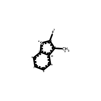 Cc1c(F)sc2ccccc12